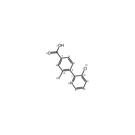 O=C(O)c1ccc(-c2ncccc2Cl)c(F)c1